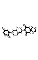 C[C@H](CN1CCN(c2cc(F)ccc2F)CC1)N1C(=O)CC2(CCCC2)CC1=O